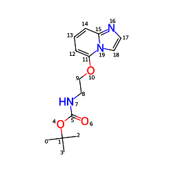 CC(C)(C)OC(=O)NCCOc1cccc2nccn12